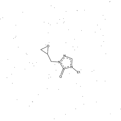 CCn1cnn(CC2CO2)c1=O